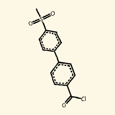 CS(=O)(=O)c1ccc(-c2ccc(C(=O)Cl)cc2)cc1